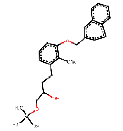 COc1c(CCC(O)CO[Si](C)(C)C(C)(C)C)cccc1OCc1ccc2ccccc2c1